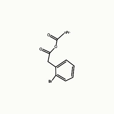 CC[CH]C(=O)OC(=O)Cc1ccccc1Br